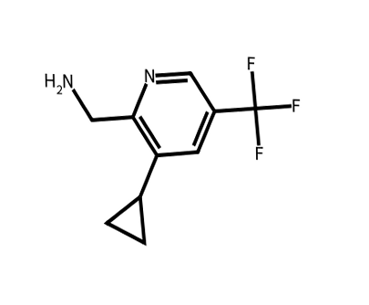 NCc1ncc(C(F)(F)F)cc1C1CC1